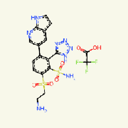 NCCS(=O)(=O)c1ccc(-c2cnc3[nH]ccc3c2)c(-c2nnn[nH]2)c1S(N)(=O)=O.O=C(O)C(F)(F)F